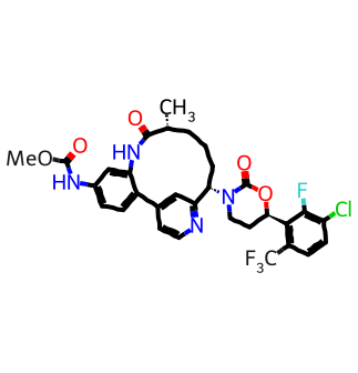 COC(=O)Nc1ccc2c(c1)NC(=O)[C@H](C)CCC[C@H](N1CC[C@H](c3c(C(F)(F)F)ccc(Cl)c3F)OC1=O)c1cc-2ccn1